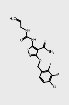 C=CCNC(=O)Nc1snc(OCc2ccc(CC)c(F)c2F)c1C(N)=O